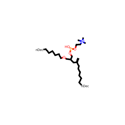 C=C(CCCCCCCCCCCCCCCC)CC(COCCCCCCCCCCCCCCCC)COP(O)OCC[N+](C)(C)C